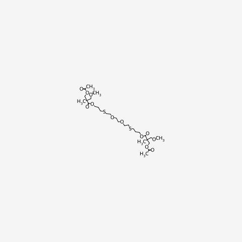 COCC(C)(COC(C)=O)C(=O)OCCCSCCOCCOCCSCCCOC(=O)C(C)(COC)COC(C)=O